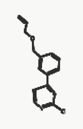 C=CCOCc1cccc(-c2ccnc(Cl)n2)c1